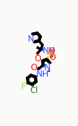 Cn1cc2c(c1C(=O)Nc1ccc(F)c(Cl)c1)OCC(C)(Cc1cccnc1)NS2(=O)=O